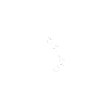 Cc1ncc([C@@H]2CCON2C(=O)C2CCN(c3cc(-n4ccnc4C)ncn3)CC2)cc1F